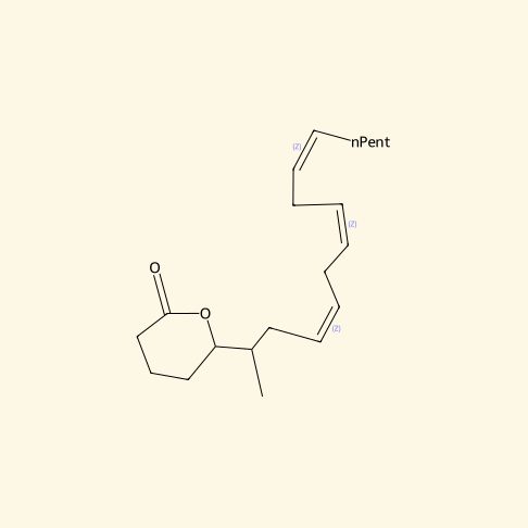 CCCCC/C=C\C/C=C\C/C=C\CC(C)C1CCCC(=O)O1